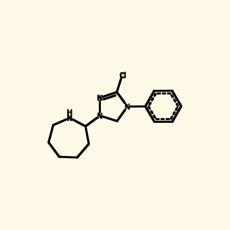 ClC1=NN(C2CCCCCN2)CN1c1ccccc1